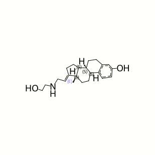 C[C@]12CC[C@@H]3c4ccc(O)cc4CC[C@H]3[C@@H]1CC/C2=C\CNCCO